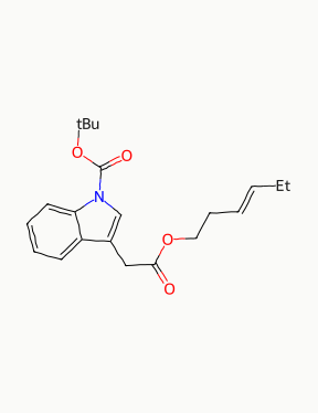 CCC=CCCOC(=O)Cc1cn(C(=O)OC(C)(C)C)c2ccccc12